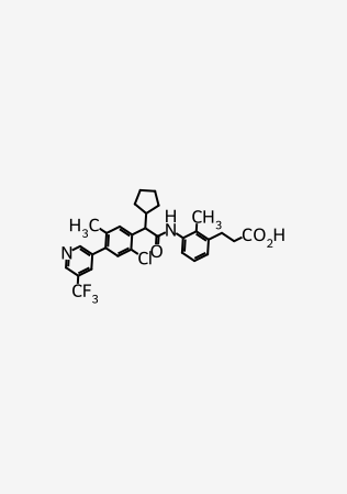 Cc1cc(C(C(=O)Nc2cccc(CCC(=O)O)c2C)C2CCCC2)c(Cl)cc1-c1cncc(C(F)(F)F)c1